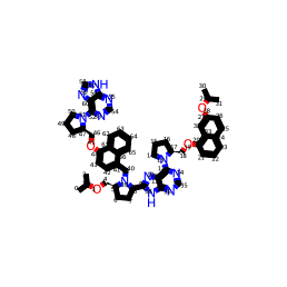 CC(C)OC[C@H]1CCC(c2nc3c(N4CCC[C@@H]4COc4cccc5ccc(OC(C)C)cc45)ncnc3[nH]2)N1Cc1ccc(OC[C@H]2CCCN2c2ncnc3[nH]cnc23)c2ccccc12